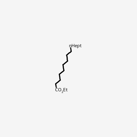 C[CH]OC(=O)CCCCCCCCCCCCCCC